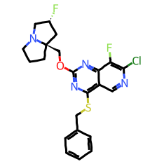 Fc1c(Cl)ncc2c(SCc3ccccc3)nc(OC[C@@]34CCCN3C[C@H](F)C4)nc12